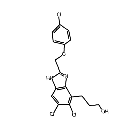 OCCCc1c(Cl)c(Cl)cc2[nH]c(COc3ccc(Cl)cc3)nc12